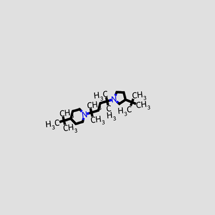 CC(C)(C)C1CCN(C(C)(C)CCC(C)(C)N2CCC(C(C)(C)C)C2)CC1